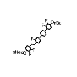 CCCCCCOc1ccc(CCc2ccc(C3=CCC(c4ccc(OCCCC)c(F)c4F)CC3)cc2F)c(F)c1F